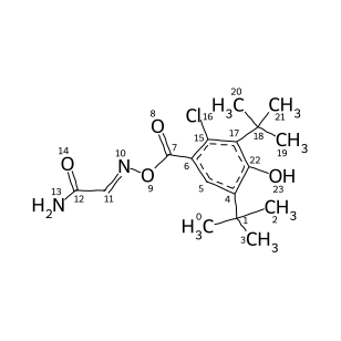 CC(C)(C)c1cc(C(=O)ON=CC(N)=O)c(Cl)c(C(C)(C)C)c1O